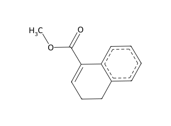 COC(=O)C1=CCCc2ccccc21